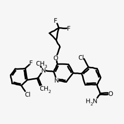 C=C(c1c(F)cccc1Cl)N(C)c1ncc(-c2cc(C(N)=O)ccc2Cl)cc1OCC1CC1(F)F